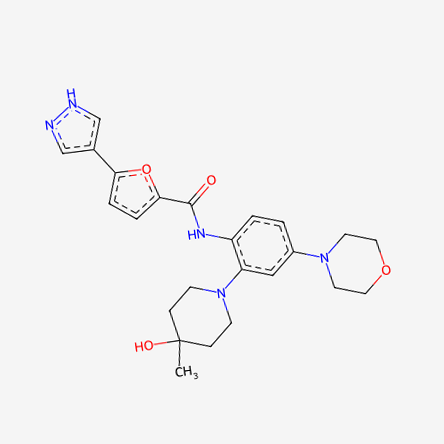 CC1(O)CCN(c2cc(N3CCOCC3)ccc2NC(=O)c2ccc(-c3cn[nH]c3)o2)CC1